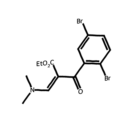 CCOC(=O)/C(=C\N(C)C)C(=O)c1cc(Br)ccc1Br